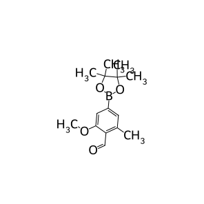 COc1cc(B2OC(C)(C)C(C)(C)O2)cc(C)c1C=O